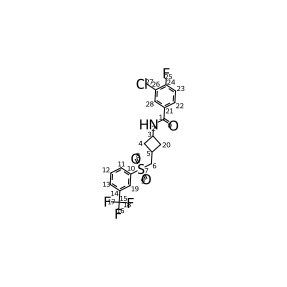 O=C(NC1CC(CS(=O)(=O)c2cccc(C(F)(F)F)c2)C1)c1ccc(F)c(Cl)c1